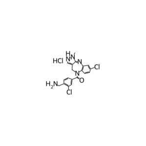 CN1NC=C2CN(C(=O)c3ccc(CN)c(Cl)c3)c3ccc(Cl)cc3N=C21.Cl